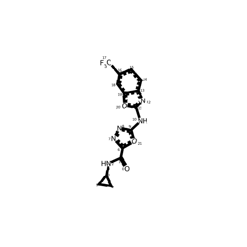 O=C(NC1CC1)c1nnc(Nc2nc3ccc(C(F)(F)F)cc3o2)o1